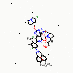 COc1ccc(CN(Cc2ccc(OC)cc2)c2cc(-c3nc4c5c(nc(OC[C@@]67CCCN6C[C@H](F)C7)nc5c3F)NC[C@H]3CC[C@@H](CC(CO)O4)N3C(=O)OC(C)(C)C)c(C(F)(F)F)c(C)c2F)cc1